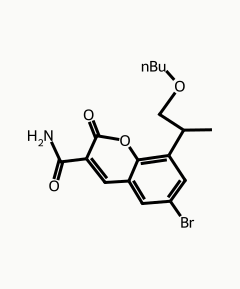 CCCCOCC(C)c1cc(Br)cc2cc(C(N)=O)c(=O)oc12